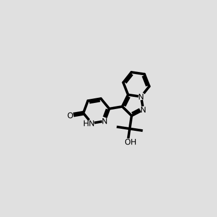 CC(C)(O)c1nn2ccccc2c1-c1ccc(=O)[nH]n1